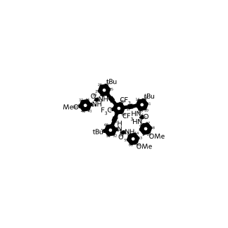 COc1ccc(NC(=O)Nc2ccc(C(C)(C)C)cc2C#Cc2c(C(F)(F)F)c(C#Cc3cc(C(C)(C)C)ccc3NC(=O)Nc3ccc(OC)cc3)c(C(F)(F)F)c(C#Cc3cc(C(C)(C)C)ccc3NC(=O)Nc3ccc(OC)cc3)c2C(F)(F)F)cc1